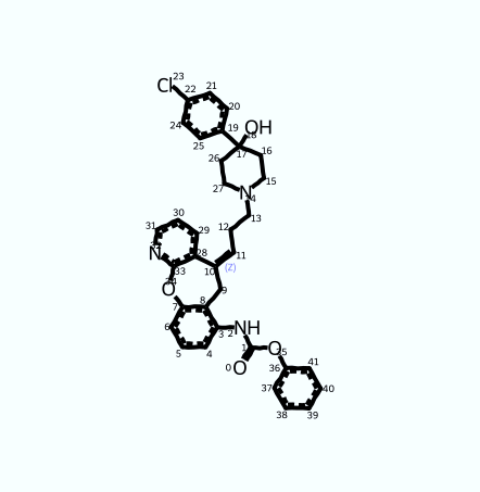 O=C(Nc1cccc2c1C/C(=C/CCN1CCC(O)(c3ccc(Cl)cc3)CC1)c1cccnc1O2)Oc1ccccc1